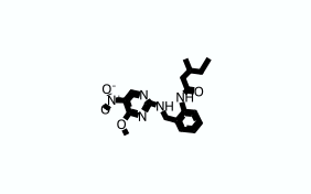 CCC(C)CC(=O)Nc1ccccc1CNc1ncc([N+](=O)[O-])c(OC)n1